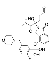 CNC(=O)C(O)(CCC=O)N1Cc2c(OC(O)(O)c3cc(CN4CCOCC4)ccc3F)cccc2C1=O